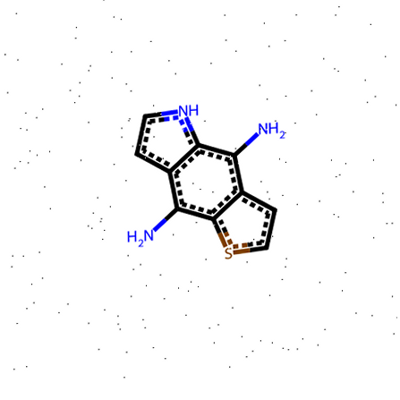 Nc1c2ccsc2c(N)c2cc[nH]c12